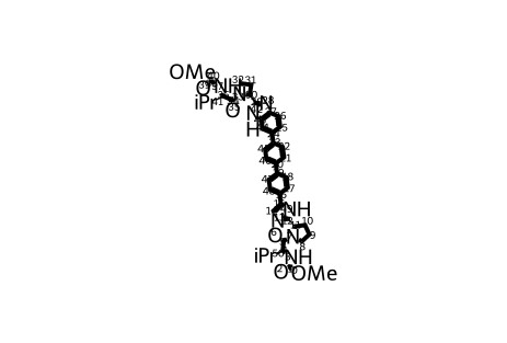 COC(=O)N[C@H](C(=O)N1CCC[C@H]1c1ncc(-c2ccc(-c3ccc(-c4ccc5nc([C@@H]6CCN6C(=O)[C@@H](NC(=O)OC)C(C)C)[nH]c5c4)cc3)cc2)[nH]1)C(C)C